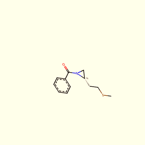 CSCC[C@H]1CN1C(=O)c1ccccc1